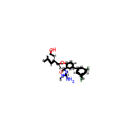 CC(C)=C[C@H](CCO)[C@@H]1C[C@@]2(N=C(N)N(C)O2)c2cc(-c3cc(F)cc(F)c3)ccc2O1